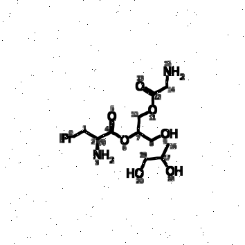 CC(C)C[C@H](N)C(=O)OC(CO)COC(=O)CN.CC(O)CO